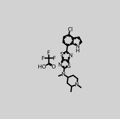 CC1CC(N(C)c2nc3sc(-c4ccc(Cl)c5cc[nH]c45)nc3s2)CCN1C.O=C(O)C(F)(F)F